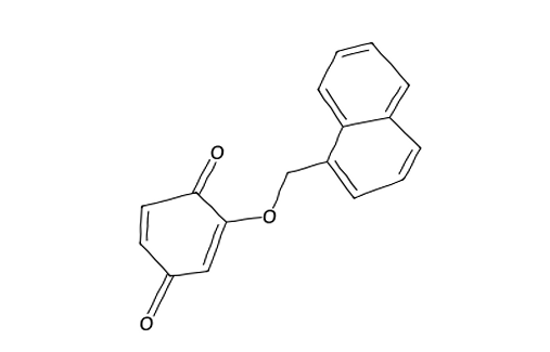 O=C1C=CC(=O)C(OCc2cccc3ccccc23)=C1